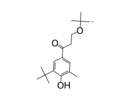 [CH2]C(C)(C)OCCC(=O)c1cc(C)c(O)c(C(C)(C)C)c1